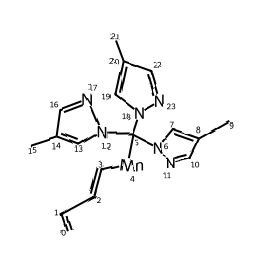 C=CC=[CH][Mn][C](n1cc(C)cn1)(n1cc(C)cn1)n1cc(C)cn1